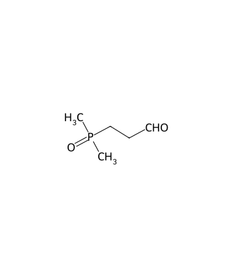 CP(C)(=O)CCC=O